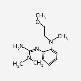 COCCN(C)c1ccccc1N=C(N)N(C)C